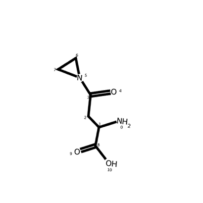 NC(CC(=O)N1CC1)C(=O)O